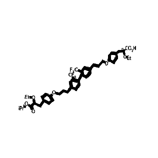 CCOC(Cc1ccc(OCCCc2ccc(-c3ccc(CCCOc4ccc(C[C@H](OCC)C(=O)O)cc4)cc3C(F)(F)F)c(C(F)(F)F)c2)cc1)C(=O)OC(C)C